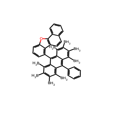 Bc1c(B)c(B)c2c(-c3cccc4oc5c6ccccc6ccc5c34)c3c(B)c(B)c(B)c(B)c3c(-c3ccccc3)c2c1B